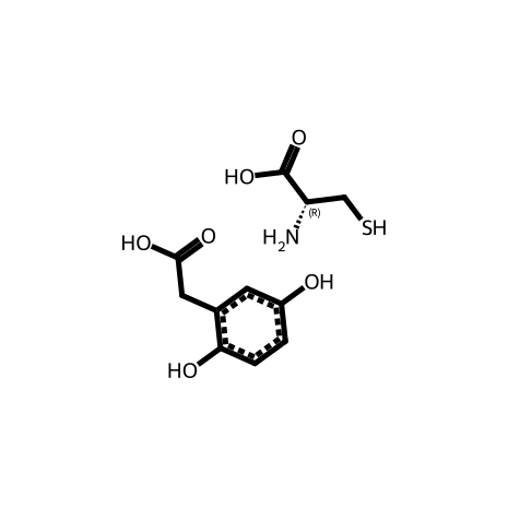 N[C@@H](CS)C(=O)O.O=C(O)Cc1cc(O)ccc1O